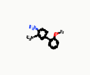 CCOc1ccccc1-c1ccc(N)c([N+](=O)[O-])c1